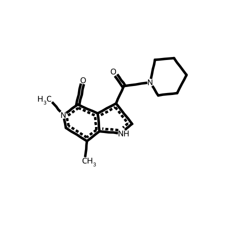 Cc1cn(C)c(=O)c2c(C(=O)N3CCCCC3)c[nH]c12